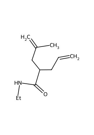 C=CCC(CC(=C)C)C(=O)NCC